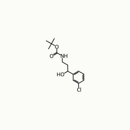 CC(C)(C)OC(=O)NCCC(O)c1cccc(Cl)c1